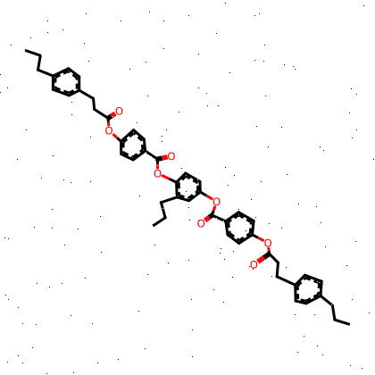 CCCc1ccc(CCC(=O)Oc2ccc(C(=O)Oc3ccc(OC(=O)c4ccc(OC(=O)CCc5ccc(CCC)cc5)cc4)c(CCC)c3)cc2)cc1